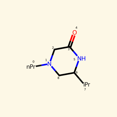 CCCN1CC(=O)NC(C(C)C)C1